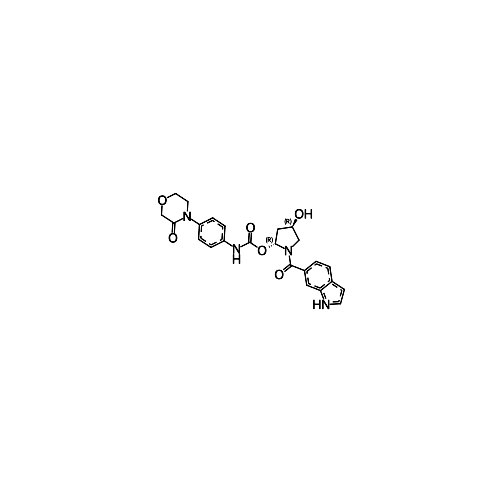 O=C(Nc1ccc(N2CCOCC2=O)cc1)O[C@@H]1C[C@@H](O)CN1C(=O)c1ccc2cc[nH]c2c1